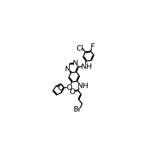 O=C(/C=C/CBr)Nc1cc2c(Nc3ccc(F)c(Cl)c3)ncnc2cc1Oc1cc2ccc1o2